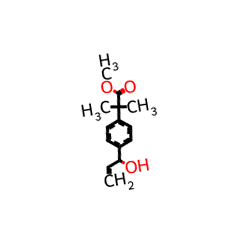 C=CC(O)c1ccc(C(C)(C)C(=O)OC)cc1